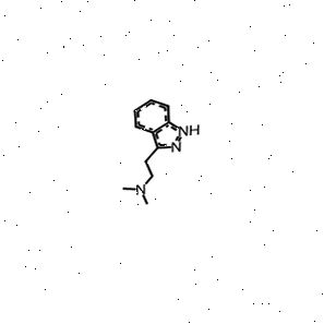 CN(C)CCc1n[nH]c2ccccc12